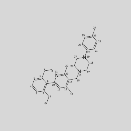 CCc1cccc(CC)c1-c1cc(C)c(CN2CCN(c3ccc(C)cc3)CC2)c(C)n1